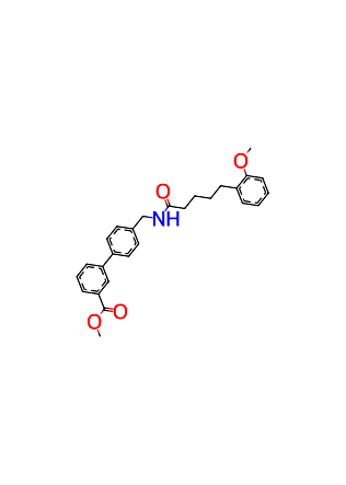 COC(=O)c1cccc(-c2ccc(CNC(=O)CCCCc3ccccc3OC)cc2)c1